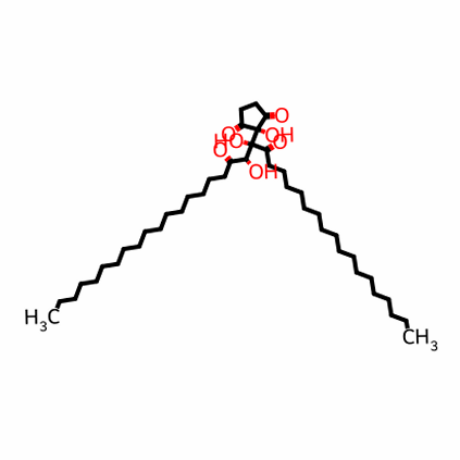 CCCCCCCCCCCCCCCCCC(=O)C(O)C(O)(C(=O)CCCCCCCCCCCCCCCCC)C1(O)C(=O)CCC1=O